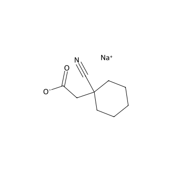 N#CC1(CC(=O)[O-])CCCCC1.[Na+]